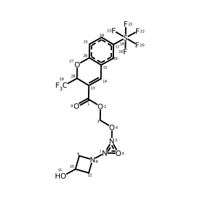 O=C(OCOn1on1N1CC(O)C1)C1=Cc2cc(S(F)(F)(F)(F)F)ccc2OC1C(F)(F)F